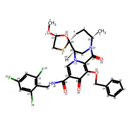 CO[C@@H]1CS[C@@]2(CC[C@H](C)N3C[C@H]2n2cc(C(=O)NCc4c(F)cc(F)cc4F)c(=O)c(OCc4ccccc4)c2C3=O)O1